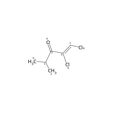 CC(C)C(=O)/C(Cl)=C/Cl